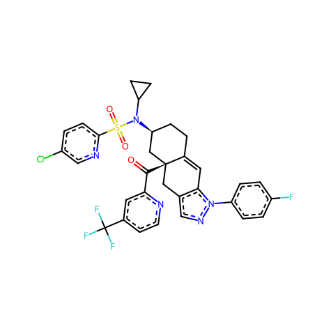 O=C(c1cc(C(F)(F)F)ccn1)[C@]12Cc3cnn(-c4ccc(F)cc4)c3C=C1CC[C@H](N(C1CC1)S(=O)(=O)c1ccc(Cl)cn1)C2